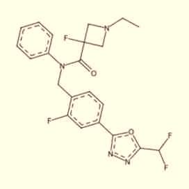 CCN1CC(F)(C(=O)N(Cc2ccc(-c3nnc(C(F)F)o3)cc2F)c2ccccc2)C1